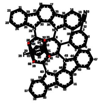 N#Cc1cccc(-c2c(-n3c4ccccc4c4ccc5c6ccccc6n(-c6ccccc6)c5c43)cc(C(F)(F)F)cc2-n2c3ccccc3c3ccc4c5ccccc5n(-c5ccccc5)c4c32)c1